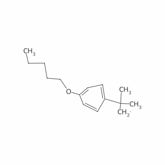 [CH2]C(C)(C)c1ccc(OCCCCC)cc1